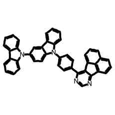 c1cc2c3c(cccc3c1)-c1c(-c3ccc(-n4c5ccccc5c5cc(-n6c7ccccc7c7ccccc76)ccc54)cc3)ncnc1-2